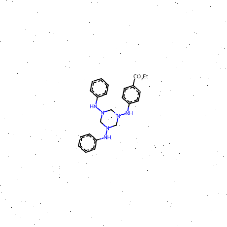 CCOC(=O)c1ccc(NN2CN(Nc3ccccc3)CN(Nc3ccccc3)C2)cc1